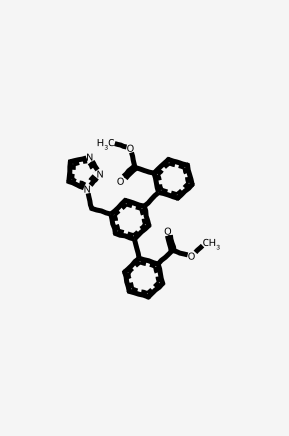 COC(=O)c1ccccc1-c1cc(Cn2ccnn2)cc(-c2ccccc2C(=O)OC)c1